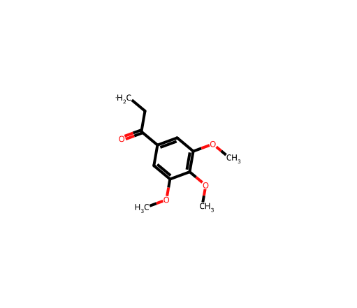 [CH2]CC(=O)c1cc(OC)c(OC)c(OC)c1